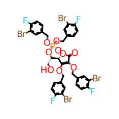 O=C1O[C@H]([C@H](CO)OP(=O)(OCc2ccc(F)c(Br)c2)OCc2ccc(F)c(Br)c2)C(OCc2ccc(F)c(Br)c2)=C1OCc1ccc(F)c(Br)c1